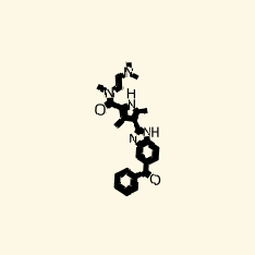 Cc1[nH]c(C(=O)N(C)CCN(C)C)c(C)c1-c1nc2cc(C(=O)c3ccccc3)ccc2[nH]1